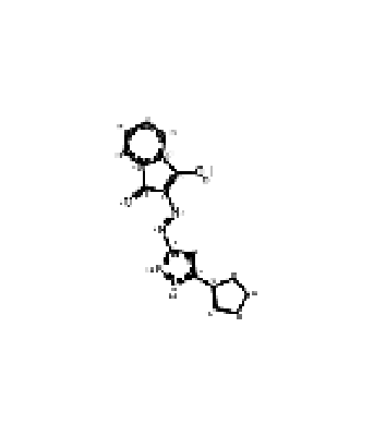 O=C1C(N=Nc2cc(C3CCCC3)sn2)=C(O)c2ccccc21